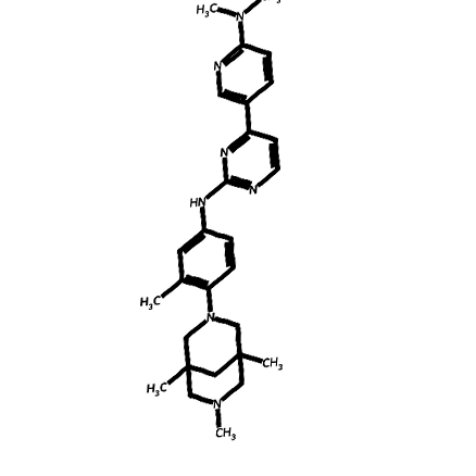 Cc1cc(Nc2nccc(-c3ccc(N(C)C)nc3)n2)ccc1N1CC2(C)CN(C)CC(C)(C1)C2